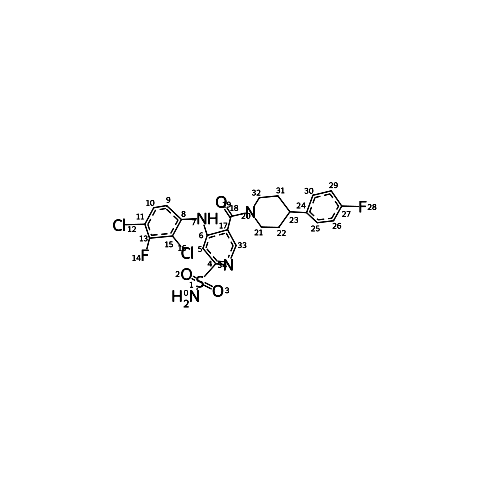 NS(=O)(=O)c1cc(Nc2ccc(Cl)c(F)c2Cl)c(C(=O)N2CCC(c3ccc(F)cc3)CC2)cn1